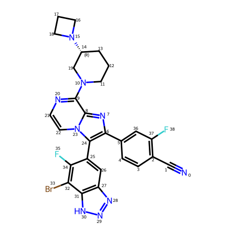 N#Cc1ccc(-c2nc3c(N4CCC[C@@H](N5CCC5)C4)nccn3c2-c2cc3nn[nH]c3c(Br)c2F)cc1F